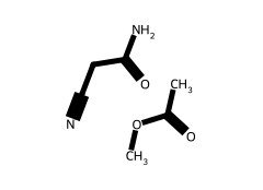 COC(C)=O.N#CCC(N)=O